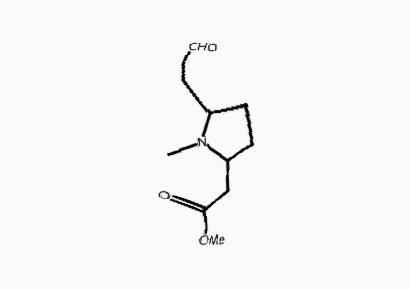 COC(=O)CC1CCC(CC=O)N1C